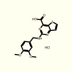 COc1ccc(CNc2nc(C(=O)O)c3sccc3n2)cc1OC.Cl